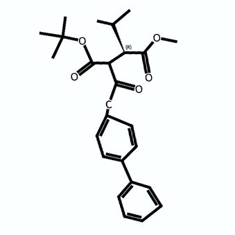 COC(=O)[C@H](C(C)C)C(C(=O)Cc1ccc(-c2ccccc2)cc1)C(=O)OC(C)(C)C